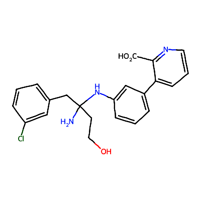 NC(CCO)(Cc1cccc(Cl)c1)Nc1cccc(-c2cccnc2C(=O)O)c1